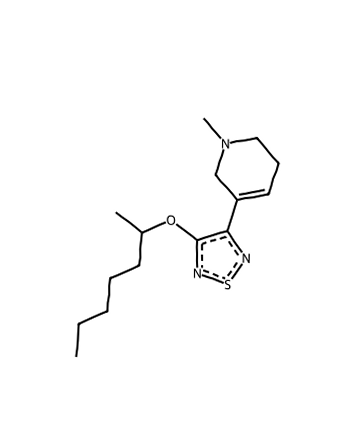 CCCCCC(C)Oc1nsnc1C1=CCCN(C)C1